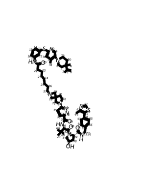 C=C(C)C1(C)CCN(c2cnc(Sc3cccc(NC(=O)CCCCCCCN4CC5(CCN(c6ccc(C(=O)N[C@H](C(=O)N7C[C@H](O)C[C@H]7C(=O)N[C@@H](C)c7ccc(-c8scnc8C)cc7)C(C)(C)C)nn6)C5)C4)c3)cc2C)CC1